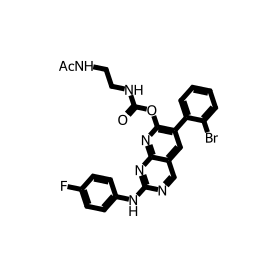 CC(=O)NCCNC(=O)Oc1nc2nc(Nc3ccc(F)cc3)ncc2cc1-c1ccccc1Br